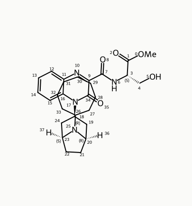 COC(=O)[C@H](CO)NC(=O)c1nc2ccccc2n([C@H]2C[C@H]3CC[C@@H](C2)N3C2CCCCCCC2)c1=O